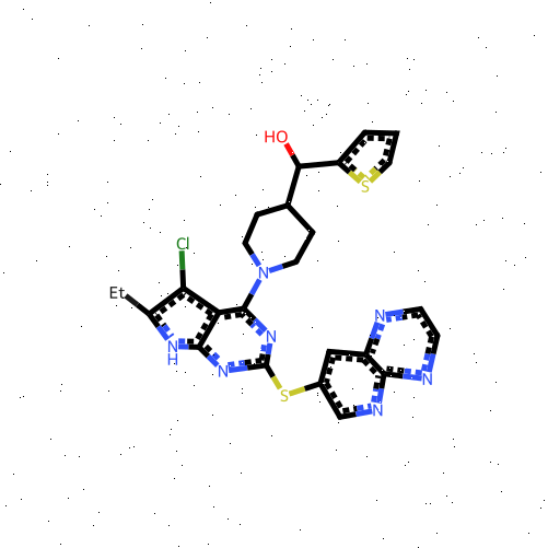 CCc1[nH]c2nc(Sc3cnc4nccnc4c3)nc(N3CCC(C(O)c4cccs4)CC3)c2c1Cl